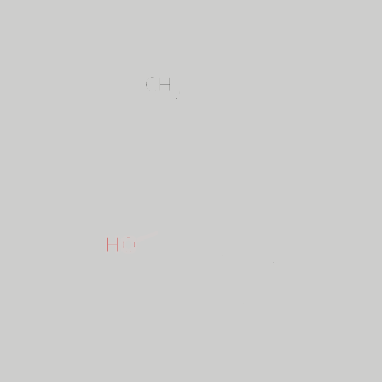 C=CCC(O)C1CC1